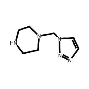 c1cn(CN2CCNCC2)nn1